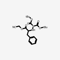 CC(C)(C)OC(=O)N(NC(Cc1ccccc1)C(=O)OCC#N)C(=O)OC(C)(C)C